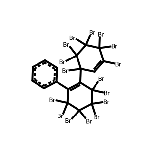 BrC1=CC(Br)(C2=C(c3ccccc3)C(Br)(Br)C(Br)(Br)C(Br)(Br)C2(Br)Br)C(Br)(Br)C(Br)(Br)C1(Br)Br